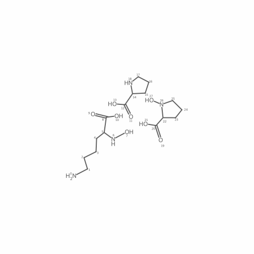 NCCCCC(NO)C(=O)O.O=C(O)C1CCCN1.O=C(O)C1CCCN1O